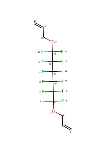 C=CCOC(F)(F)C(F)(F)C(F)(F)C(F)(F)C(F)(F)C(F)(F)OCC=C